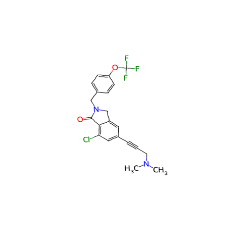 CN(C)CC#Cc1cc(Cl)c2c(c1)CN(Cc1ccc(OC(F)(F)F)cc1)C2=O